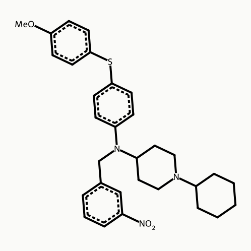 COc1ccc(Sc2ccc(N(Cc3cccc([N+](=O)[O-])c3)C3CCN(C4CCCCC4)CC3)cc2)cc1